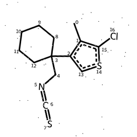 Cc1c(C2(CN=C=S)CCCCC2)csc1Cl